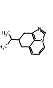 CC(C)C1Cc2cccn3cnc(c23)C1